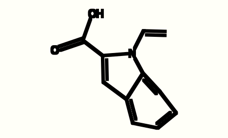 C=Cn1c(C(=O)O)cc2ccccc21